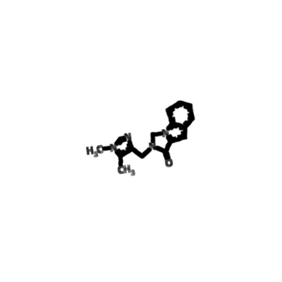 Cc1c(CN2Cn3c(cc4ccccc43)C2=O)ncn1C